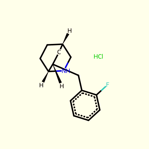 Cl.Fc1ccccc1C[C@H]1C[C@@H]2CC[C@H]1NC2